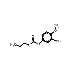 CCCOC(=O)Oc1ccc(OC)c(O)c1